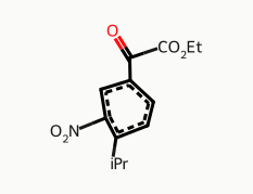 CCOC(=O)C(=O)c1ccc(C(C)C)c([N+](=O)[O-])c1